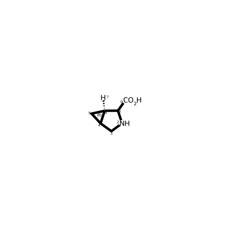 O=C(O)C1NCC2C[C@H]21